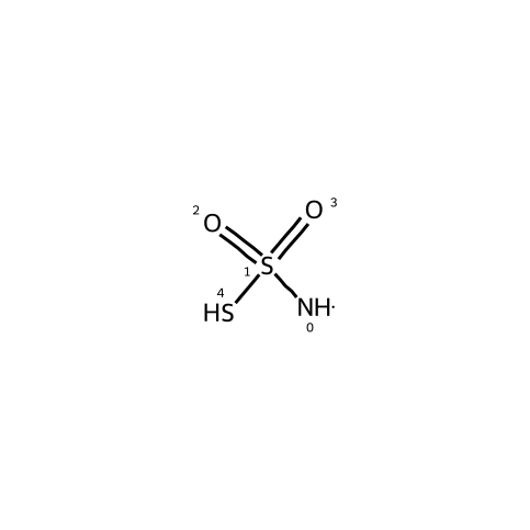 [NH]S(=O)(=O)S